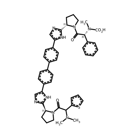 CN(C)C(C(=O)N1CCC[C@H]1c1ncc(-c2ccc(-c3ccc(-c4cnc([C@@H]5CCCN5C(=O)[C@@H](c5ccccc5)N(C)C(=O)O)[nH]4)cc3)cc2)[nH]1)c1cccs1